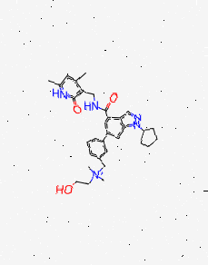 Cc1cc(C)c(CNC(=O)c2cc(-c3cccc(C[N+](C)(C)CCO)c3)cc3c2cnn3C2CCCC2)c(=O)[nH]1